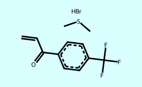 Br.C=CC(=O)c1ccc(C(F)(F)F)cc1.CSC